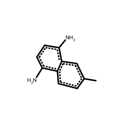 Cc1ccc2c(N)ccc(N)c2c1